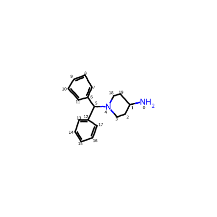 NC1CCN(C(c2ccccc2)c2ccccc2)CC1